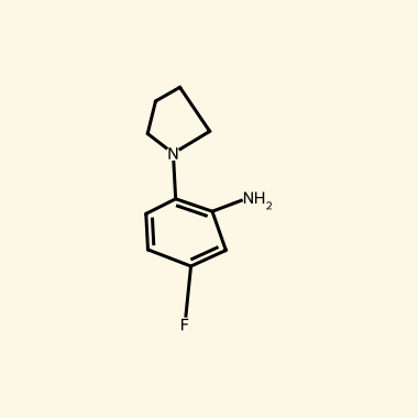 Nc1cc(F)ccc1N1CCCC1